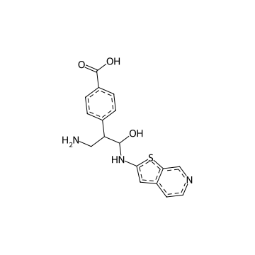 NCC(c1ccc(C(=O)O)cc1)C(O)Nc1cc2ccncc2s1